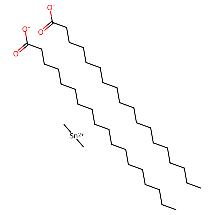 CCCCCCCCCCCCCCCCCC(=O)[O-].CCCCCCCCCCCCCCCCCC(=O)[O-].[CH3][Sn+2][CH3]